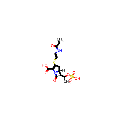 CCC(=O)N/C=C/SC1=C(C(=O)O)N2C(=O)[C@@H]([C@H](C)OS(=O)(=O)O)[C@H]2C1